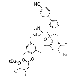 Cc1cc(C[n+]2cnn(CC(O)(c3cc(F)c(F)cc3F)C(C)c3nc(-c4ccc(C#N)cc4)cs3)c2)cc(C)c1OC(=O)CN(C)C(=O)OC(C)(C)C.[Br-]